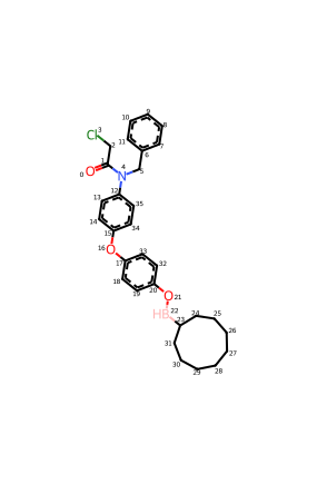 O=C(CCl)N(Cc1ccccc1)c1ccc(Oc2ccc(OBC3CCCCCCCC3)cc2)cc1